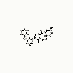 CN1C(=O)C(NC(=O)c2cc(Oc3ccccc3)ccn2)COc2ccc(Br)cc21